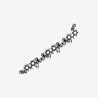 O=C=NC1CCCC(CC2CCCC(NC(=O)OCOC(=O)NC3CCCC(CC4CCCC(NC(=O)OCOC(=O)NC5CCCC(CC6CCCC(N=C=O)C6)C5)C4)C3)C2)C1